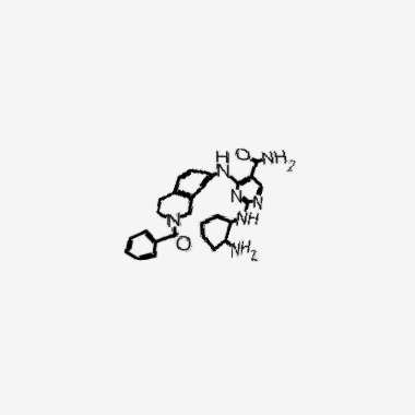 NC(=O)c1cnc(NC2CCCCC2N)nc1Nc1ccc2c(c1)CN(C(=O)c1ccccc1)CC2